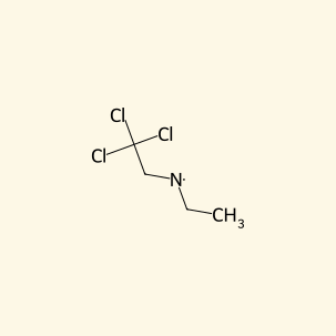 CC[N]CC(Cl)(Cl)Cl